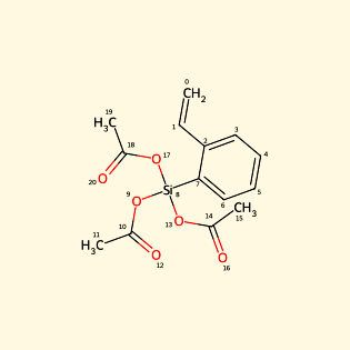 C=Cc1ccccc1[Si](OC(C)=O)(OC(C)=O)OC(C)=O